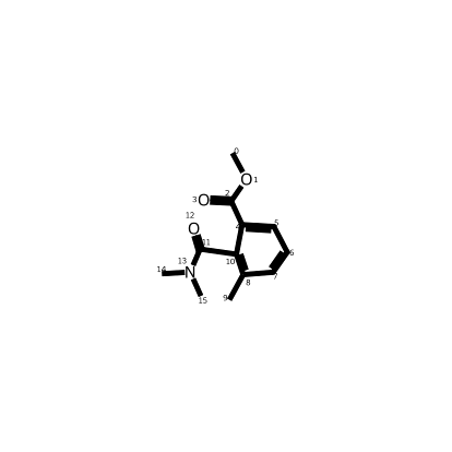 COC(=O)c1cccc(C)c1C(=O)N(C)C